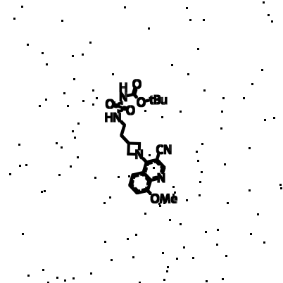 COc1cccc2c(N3CC(CCNS(=O)(=O)NC(=O)OC(C)(C)C)C3)c(C#N)cnc12